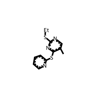 CCSc1ncc(C)c(Sc2ccccn2)n1